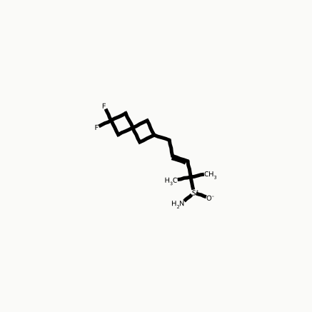 CC(C)(C=CCC1CC2(C1)CC(F)(F)C2)[S+](N)[O-]